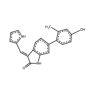 Cc1cc(O)ccc1-c1ccc2c(c1)NC(=O)/C2=C/c1ccc[nH]1